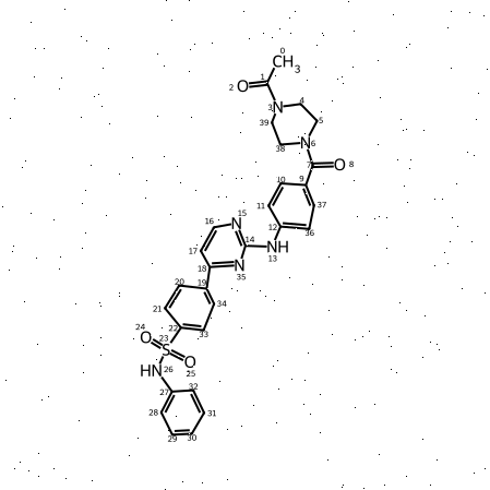 CC(=O)N1CCN(C(=O)c2ccc(Nc3nccc(-c4ccc(S(=O)(=O)Nc5ccccc5)cc4)n3)cc2)CC1